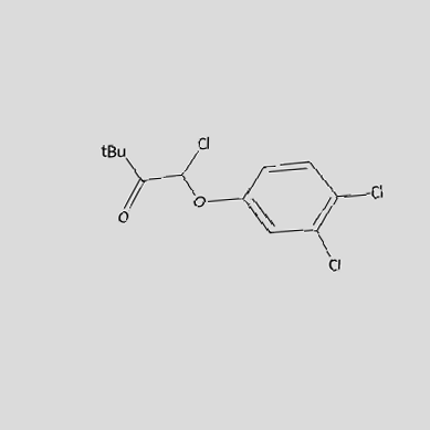 CC(C)(C)C(=O)C(Cl)Oc1ccc(Cl)c(Cl)c1